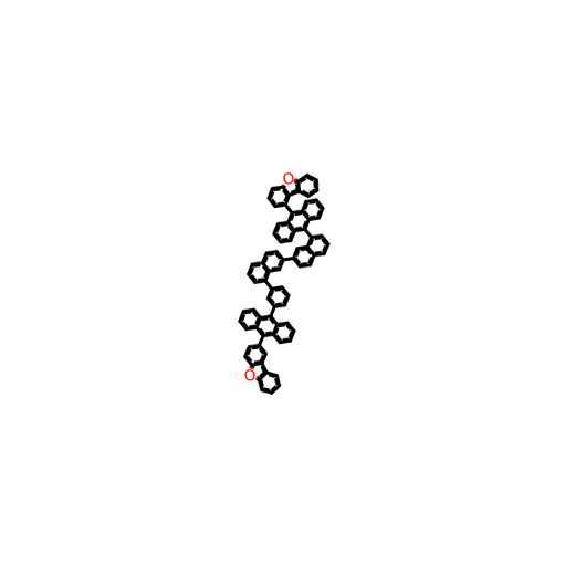 c1cc(-c2cccc3ccc(-c4ccc5cccc(-c6c7ccccc7c(-c7cccc8oc9ccccc9c78)c7ccccc67)c5c4)cc23)cc(-c2c3ccccc3c(-c3ccc4oc5ccccc5c4c3)c3ccccc23)c1